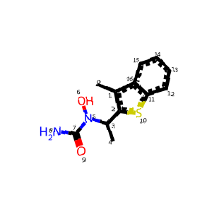 Cc1c(C(C)N(O)C(N)=O)sc2ccccc12